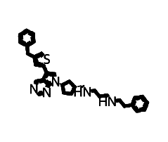 c1ccc(CCNCCCNC[C@@H]2CC[C@H](n3cc(-c4cc(Cc5ccccc5)cs4)c4cncnc43)C2)cc1